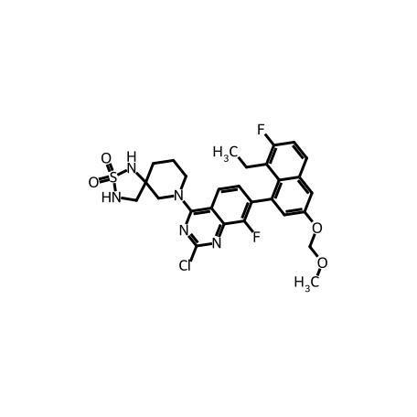 CCc1c(F)ccc2cc(OCOC)cc(-c3ccc4c(N5CCCC6(CNS(=O)(=O)N6)C5)nc(Cl)nc4c3F)c12